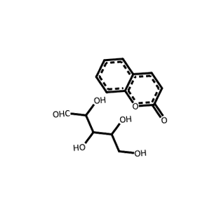 O=CC(O)C(O)C(O)CO.O=c1ccc2ccccc2o1